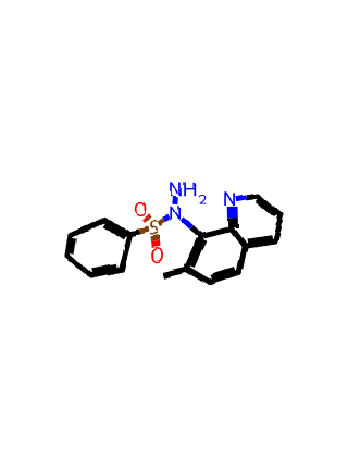 Cc1ccc2cccnc2c1N(N)S(=O)(=O)c1ccccc1